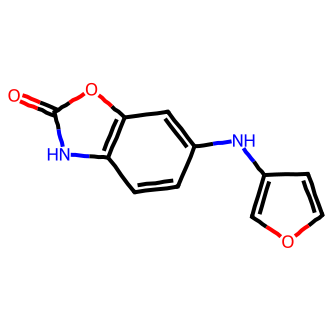 O=c1[nH]c2ccc(Nc3ccoc3)cc2o1